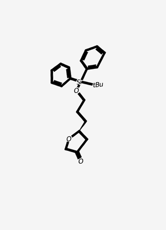 CC(C)(C)[Si](OCCC[C@H]1CC(=O)CO1)(c1ccccc1)c1ccccc1